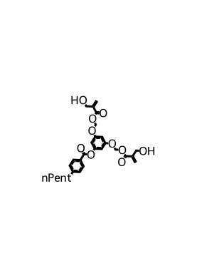 C=C(CO)C(=O)OCOc1cc(OCOC(=O)C(=C)CO)cc(OC(=O)c2ccc(CCCCC)cc2)c1